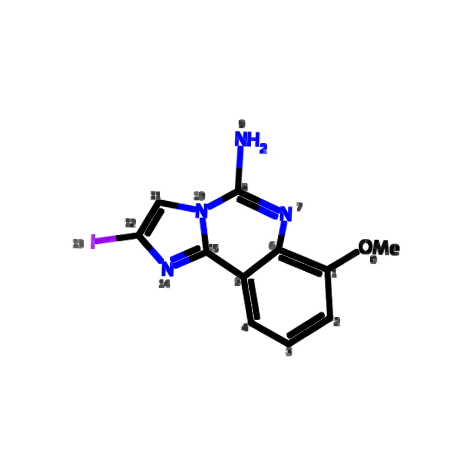 COc1cccc2c1nc(N)n1cc(I)nc21